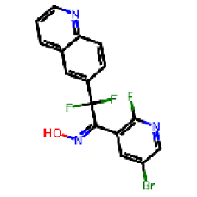 ON=C(c1cc(Br)cnc1F)C(F)(F)c1ccc2ncccc2c1